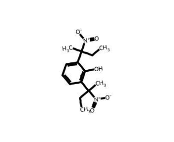 CCC(C)(c1cccc(C(C)(CC)[N+](=O)[O-])c1O)[N+](=O)[O-]